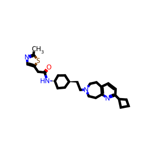 Cc1ncc(CC(=O)N[C@H]2CC[C@H](CCN3CCc4ccc(C5CCC5)nc4CC3)CC2)s1